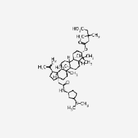 C=C(C)[C@@H]1CC[C@]2(CC(=O)N[C@H]3CC[C@@H](N(C)C)C3)CC[C@]3(C)[C@H](CC[C@@H]4[C@@]5(C)CC[C@H](OC(=O)CC(C)(C)CC(=O)O)C(C)(C)[C@@H]5CC[C@]43C)[C@@H]12